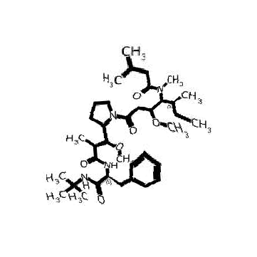 CC[C@H](C)C(C(CC(=O)N1CCCC1C(OC)C(C)C(=O)N[C@@H](Cc1ccccc1)C(=O)NC(C)(C)C)OC)N(C)C(=O)CC(C)C